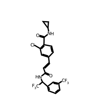 O=C(C=Cc1ccc(C(=O)NC2CC2)c(Cl)c1)NC(c1cccc(C(F)(F)F)c1)C(F)(F)F